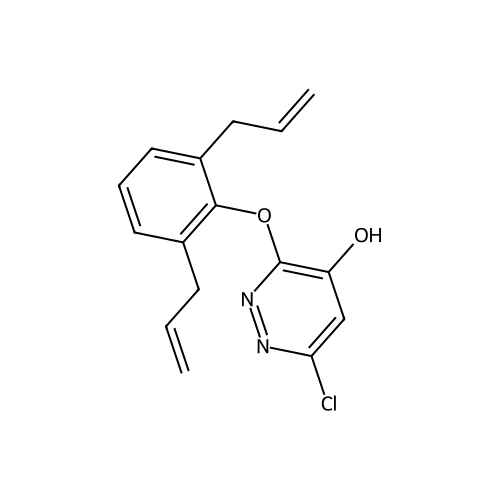 C=CCc1cccc(CC=C)c1Oc1nnc(Cl)cc1O